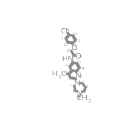 Cc1cc(N2CCCN(C)CC2)nc2ccc(NC(=O)COc3ccc(Cl)cc3)cc12